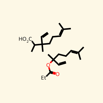 C=CC(C)(CCC=C(C)C)C(C)C(=O)O.C=CC(C)(CCC=C(C)C)OC(=O)CC